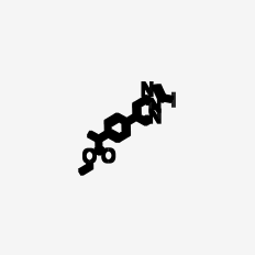 CCOC(=O)C(C)c1ccc(-c2cnn3c(I)cnc3c2)cc1